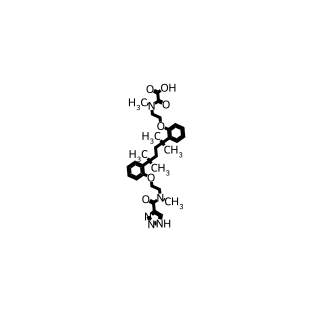 CN(CCOc1ccccc1C(C)(C)CCC(C)(C)c1ccccc1OCCN(C)C(=O)c1c[nH]nn1)C(=O)C(=O)O